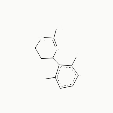 NC1=NC(c2c(F)cccc2F)CCN1